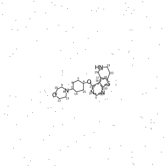 c1nc(OC2CCC(N3CCOCC3)CC2)c2c3c(sc2n1)CCNC3